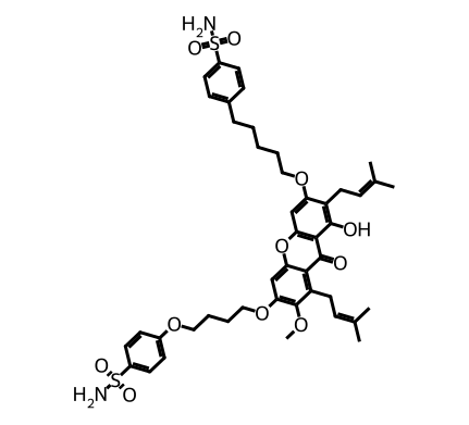 COc1c(OCCCCOc2ccc(S(N)(=O)=O)cc2)cc2oc3cc(OCCCCCc4ccc(S(N)(=O)=O)cc4)c(CC=C(C)C)c(O)c3c(=O)c2c1CC=C(C)C